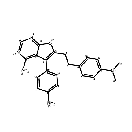 CN(C)c1ccc(CCc2sc3ncnc(N)c3c2-c2ccc(N)cc2)cc1